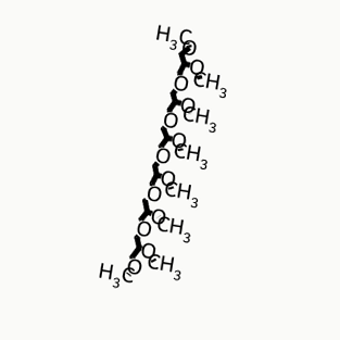 COCC(COCC(COCC(COCC(COCC(COCC(COC)OC)OC)OC)OC)OC)OC